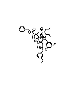 CCCC(CCC)S(=O)(=O)CC(NC(=O)OCc1ccccc1)C(=O)N[C@@H](Cc1cc(F)cc(F)c1)[C@H](O)CNCc1cccc(CC)c1